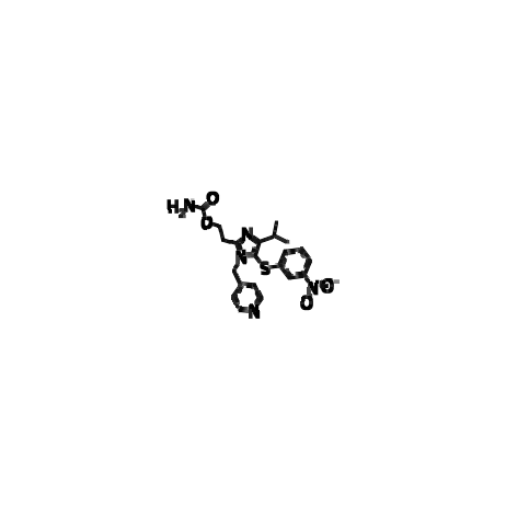 CC(C)c1nc(CCOC(N)=O)n(Cc2ccncc2)c1Sc1cccc([N+](=O)[O-])c1